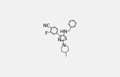 CC1CCN(c2nc(-c3ccc(C#N)c(F)c3)c(NCc3ccccc3)s2)CC1